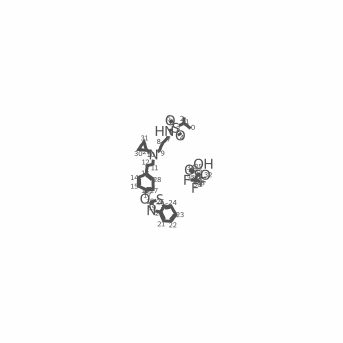 CC(C)S(=O)(=O)NCCCN(CCc1ccc(Oc2nc3ccccc3s2)cc1)C1CC1.O=S(=O)(O)C(F)(F)F